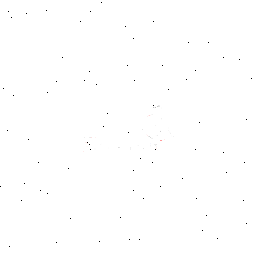 C=C(C)C(=O)OCC12C=CC(O1)C1C(=O)N(CCCCCCCCCP(=O)(O)O)C(=O)C12